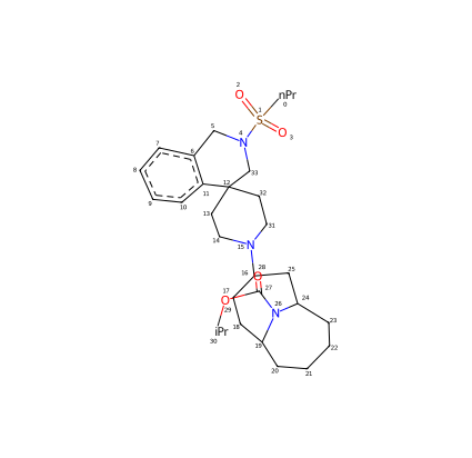 CCCS(=O)(=O)N1Cc2ccccc2C2(CCN(C3CCC4CCCCC(C3)N4C(=O)OC(C)C)CC2)C1